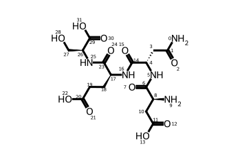 NC(=O)C[C@H](NC(=O)[C@@H](N)CC(=O)O)C(=O)N[C@@H](CCC(=O)O)C(=O)N[C@@H](CO)C(=O)O